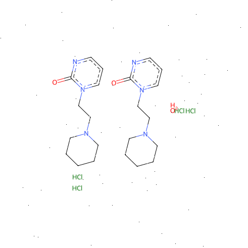 Cl.Cl.Cl.Cl.O.O=c1ncccn1CCN1CCCCC1.O=c1ncccn1CCN1CCCCC1